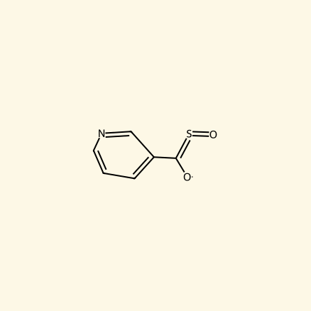 [O]C(=S=O)c1cccnc1